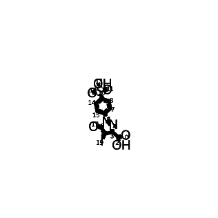 O=C(O)C1=NN(c2ccc(S(=O)(=O)O)cc2)C(=O)C1I